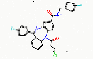 O=C(NCc1ccc(F)cc1)c1ccc2c(c1)N=C(c1ccc(F)cc1)C1C=CC=CC1N2C(=O)CCCl